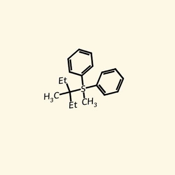 CCC(C)(CC)S(C)(c1ccccc1)c1ccccc1